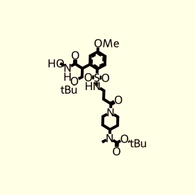 COc1ccc(S(=O)(=O)NCCC(=O)N2CCC(N(C)C(=O)OC(C)(C)C)CC2)c(C(COC(C)(C)C)C(=O)NO)c1